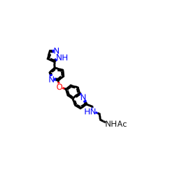 CC(=O)NCCNCc1ccc2cc(Oc3ccc(-c4ccn[nH]4)cn3)ccc2n1